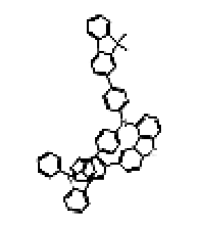 CC1(C)c2ccccc2-c2ccc(-c3ccc(N(c4ccc(-c5ccccc5)cc4)c4cccc5c4C4C=C(c6ccc7c(c6)c6ccccc6n7-c6ccccc6)C=CC4O5)cc3)cc21